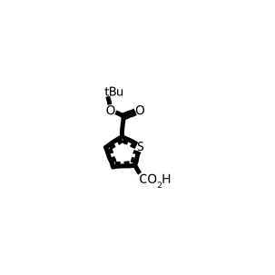 CC(C)(C)OC(=O)c1ccc(C(=O)O)s1